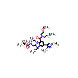 CCN1c2cc(-c3cn(C)nc3C)cc(C(=O)N(CCOC)CCOC)c2N(CC)C1CNC(=O)OC(C)(C)C